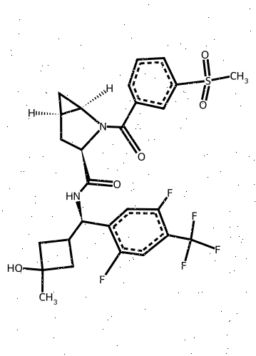 CC1(O)CC([C@@H](NC(=O)[C@H]2C[C@H]3C[C@H]3N2C(=O)c2cccc(S(C)(=O)=O)c2)c2cc(F)c(C(F)(F)F)cc2F)C1